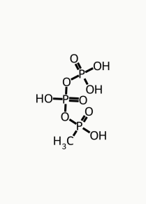 CP(=O)(O)OP(=O)(O)OP(=O)(O)O